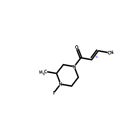 CC1CN(C(=O)/C=C/C#N)CCN1I